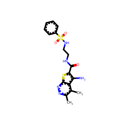 Cc1nnc2sc(C(=O)NCCNS(=O)(=O)c3ccccc3)c(N)c2c1C